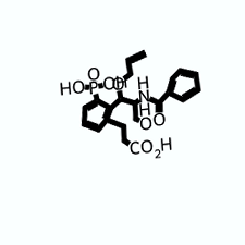 C=CCOC(c1c(CCC(=O)O)cccc1P(=O)(O)O)C(CO)NC(=O)c1ccccc1